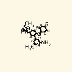 CCS(=O)(=O)Nc1ccc(Oc2ccc(F)cc2F)c(-c2cc(C)nc(N)c2)c1